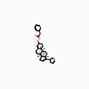 C[C@]12CCC(=NOC(=O)Cc3ccccc3)C=C1CC[C@H]1[C@@H]2CC[C@]2(C)C(c3cccnc3)=CC[C@@H]12